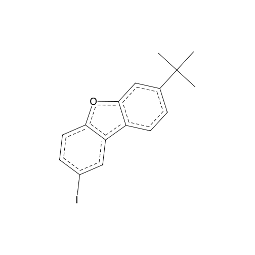 CC(C)(C)c1ccc2c(c1)oc1ccc(I)cc12